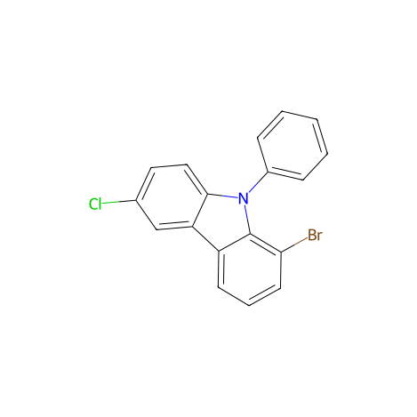 Clc1ccc2c(c1)c1cccc(Br)c1n2-c1ccccc1